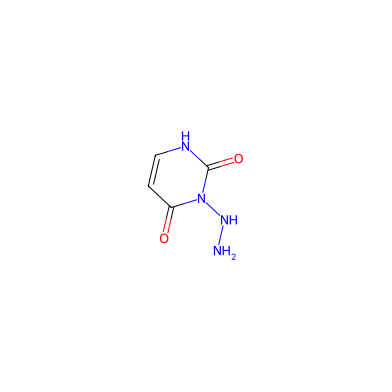 NNn1c(=O)cc[nH]c1=O